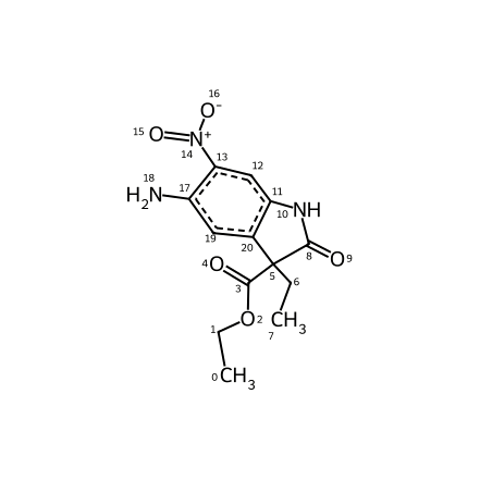 CCOC(=O)C1(CC)C(=O)Nc2cc([N+](=O)[O-])c(N)cc21